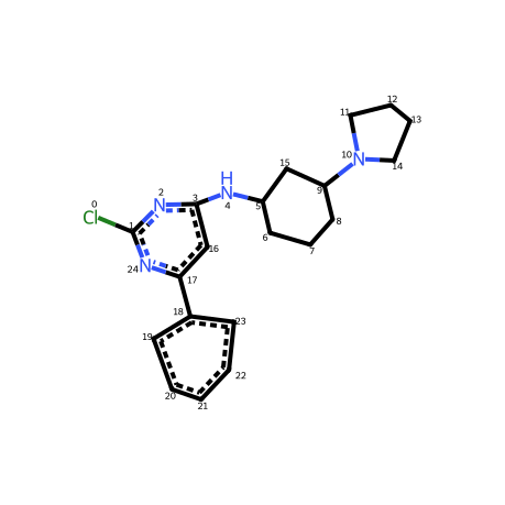 Clc1nc(NC2CCCC(N3CCCC3)C2)cc(-c2ccccc2)n1